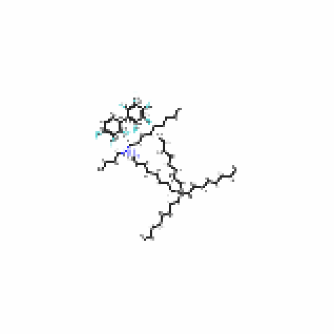 CCCCCCCCC[NH2+]CCCC.CCCCCCC[CH2][Al-]([CH2]CCCCCCC)([CH2]CCCCCCC)[CH2]CCCCCCC.Fc1ccc(-c2c(F)c(F)c(F)c(F)c2F)c(F)c1F